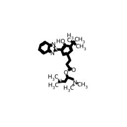 CN(C)CC(CN(C)C)OC(=O)CCc1cc(-n2nc3ccccc3n2)c(O)c(C(C)(C)C)c1